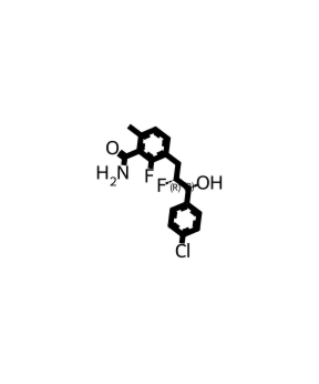 Cc1ccc(C[C@@H](F)[C@H](O)c2ccc(Cl)cc2)c(F)c1C(N)=O